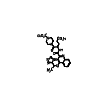 CCOC(=O)N1CCN(C(=O)C(CCC(=O)O)NC(=O)c2cc(OC(C)c3nnn[nH]3)c3ccccc3n2)CC1